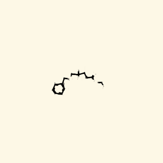 CCOC(=O)CCC(C)(C)COCc1ccccc1